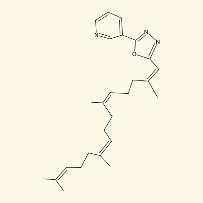 CC(C)=CCCC(C)=CCCC(C)=CCCC(C)=Cc1nnc(-c2cccnc2)o1